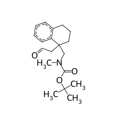 CN(CC1(CC=O)CCCc2ccccc21)C(=O)OC(C)(C)C